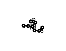 c1ccc(-c2ccc(-c3nc(-c4cccc(-c5ccc6sc7ccccc7c6c5)c4)nc(-c4cccc5oc6ccccc6c45)n3)cc2)cc1